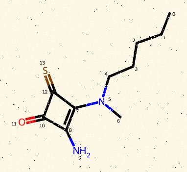 CCCCCN(C)c1c(N)c(=O)c1=S